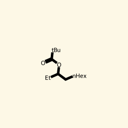 CCCCCCCC(CC)OC(=O)C(C)(C)C